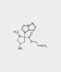 C=CCOC(=O)C1(n2ccn3nccc23)CC(O)CN1C